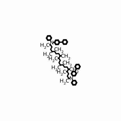 C=C(CCC(=C)C(=C)CCC(=C)C(=C)CCC(=C)N(c1ccccc1)c1ccc(-c2ccccc2)cc1)C(=C)CCC(=C)C(=C)CCC(=C)N(c1ccccc1)c1ccc(-c2ccccc2)cc1